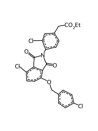 CCOC(=O)Cc1ccc(N2C(=O)c3c(Cl)ccc(OCc4ccc(Cl)cc4)c3C2=O)c(Cl)c1